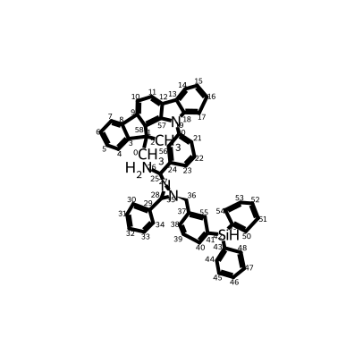 CC1(C)c2ccccc2-c2ccc3c4ccccc4n(-c4cccc(C(N)N5C(c6ccccc6)[N@]5Cc5cccc([SiH](c6ccccc6)c6ccccc6)c5)c4)c3c21